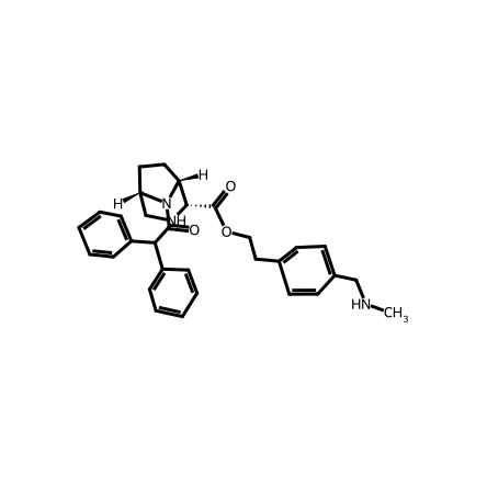 CNCc1ccc(CCOC(=O)[C@@H]2NC[C@@H]3CC[C@H]2N3C(=O)C(c2ccccc2)c2ccccc2)cc1